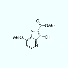 COC(=O)c1sc2c(OC)ccnc2c1C